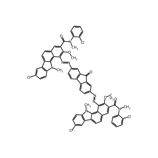 COc1c(C(=O)N(C)c2ccccc2Cl)cc2ccc3c4cc(Cl)ccc4n(C)c3c2c1N=Nc1ccc2c(c1)C(=O)c1cc(N=Nc3c(OC)c(C(=O)N(C)c4ccccc4Cl)cc4ccc5c6cc(Cl)ccc6n(C)c5c34)ccc1-2